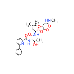 CNC(=O)CC1OB([C@H](CC(C)C)NC(=O)[C@@H](NC(=O)c2cccc(-c3ccccc3)n2)[C@@H](C)O)OC1=O